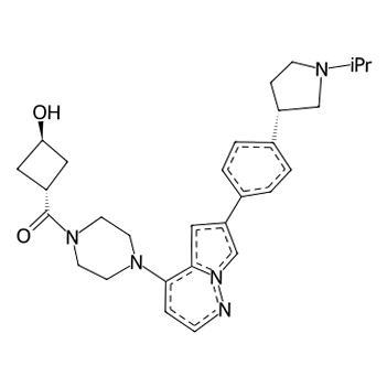 CC(C)N1CC[C@@H](c2ccc(-c3cc4c(N5CCN(C(=O)[C@H]6C[C@H](O)C6)CC5)ccnn4c3)cc2)C1